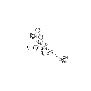 CCCCC(=O)N(Cc1ccc(-c2ccccc2-c2nnn[nH]2)cc1)C(C(=O)NCC(=O)OCCCCON(O)O)C(C)C